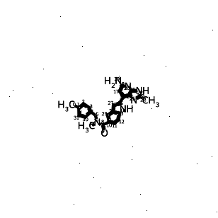 Cc1ccc(CN(C)C(=O)c2ccc3[nH]c(-c4cc(N)nc5[nH]c(C)nc45)cc3c2)cc1